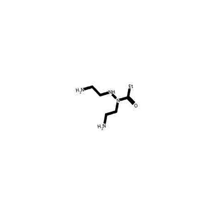 CCC(=O)N(CCN)NCCN